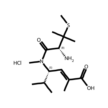 CSC(C)(C)[C@H](N)C(=O)N(C)[C@H](C=C(C)C(=O)O)C(C)C.Cl